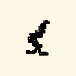 COCCN(CCOC)C(=O)c1ccc(Nc2nc(-c3cccc(NC(=O)c4ccc(C(C)(C)C)cc4)c3F)cn(C)c2=O)cc1